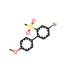 COc1ccc(-c2ccc(Br)cc2S(C)(=O)=O)cc1